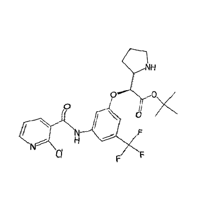 CC(C)(C)OC(=O)[C@@H](Oc1cc(NC(=O)c2cccnc2Cl)cc(C(F)(F)F)c1)C1CCCN1